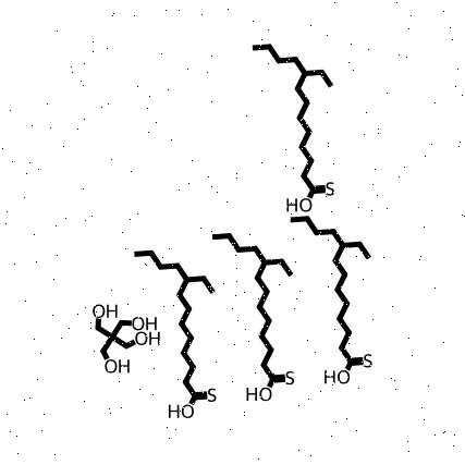 CCCCC(CC)CCCCCCCC(O)=S.CCCCC(CC)CCCCCCCC(O)=S.CCCCC(CC)CCCCCCCC(O)=S.CCCCC(CC)CCCCCCCC(O)=S.OCC(CO)(CO)CO